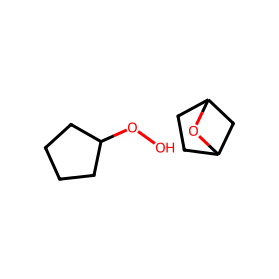 C1CC2CC1O2.OOC1CCCC1